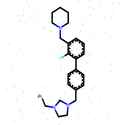 CC(C)CN1CCN(Cc2ccc(-c3cccc(CN4CCCCC4)c3F)cc2)C1